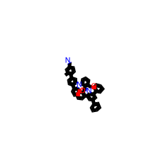 Cc1cc(C#N)ccc1-c1ccc2c3ccccc3n(-c3cccc4c3C(=O)N(c3c(-c5ccccc5)cc(-c5ccccc5)cc3-c3ccccc3)C4=O)c2c1